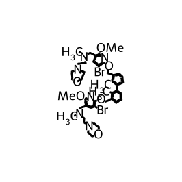 COc1nc(OCc2cccc(-c3cccc(COc4nc(OC)c(CN(C)CCN5CCOCC5)cc4Br)c3C)c2C)c(Br)cc1CN(C)CCN1CCOCC1